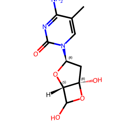 Cc1cn([C@H]2C[C@@]3(O)OC(O)[C@@H]3O2)c(=O)nc1N